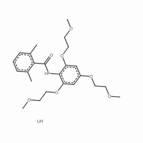 COCCOc1cc(OCCOC)c(PC(=O)c2c(C)cccc2C)c(OCCOC)c1.[LiH]